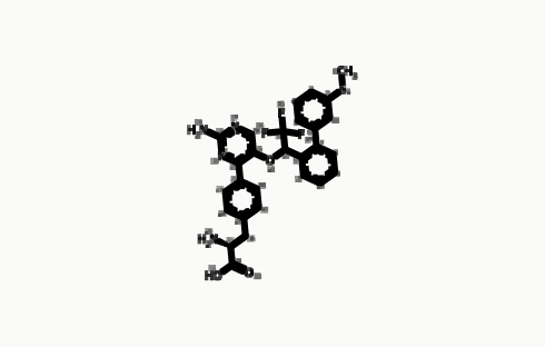 CSc1cccc(-c2ccccc2C(Oc2cnc(N)nc2-c2ccc(C[C@H](N)C(=O)O)cc2)C(F)(F)F)c1